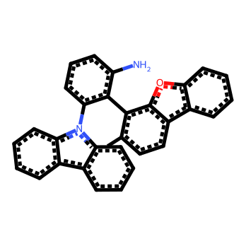 Cc1ccc2c(oc3ccccc32)c1-c1c(N)cccc1-n1c2ccccc2c2ccccc21